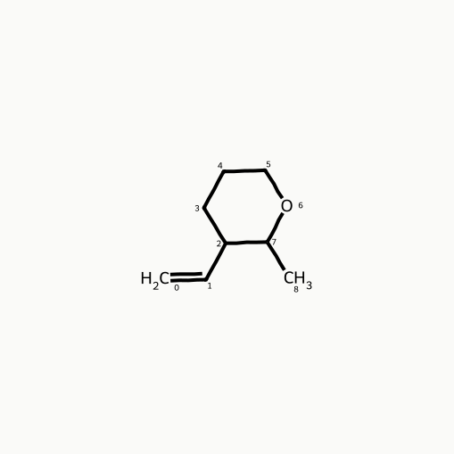 C=CC1CCCOC1C